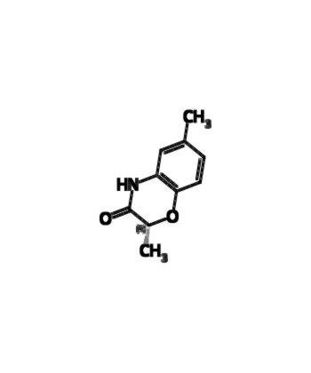 Cc1ccc2c(c1)NC(=O)[C@@H](C)O2